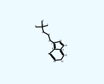 CC(C)(C)CCCC1=C2C=CCC=C2C=C1